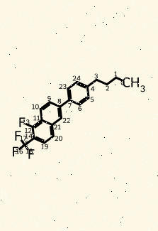 CCCCc1ccc(-c2ccc3c(F)c(C(F)(F)F)ccc3c2)cc1